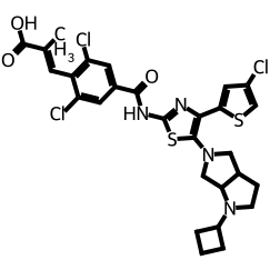 C/C(=C\c1c(Cl)cc(C(=O)Nc2nc(-c3cc(Cl)cs3)c(N3CC4CCN(C5CCC5)C4C3)s2)cc1Cl)C(=O)O